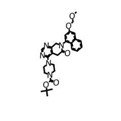 COCOc1cc(N2Cc3ncnc(N4CCN(C(=O)OC(C)(C)C)CC4)c3CC2=O)c2ccccc2c1